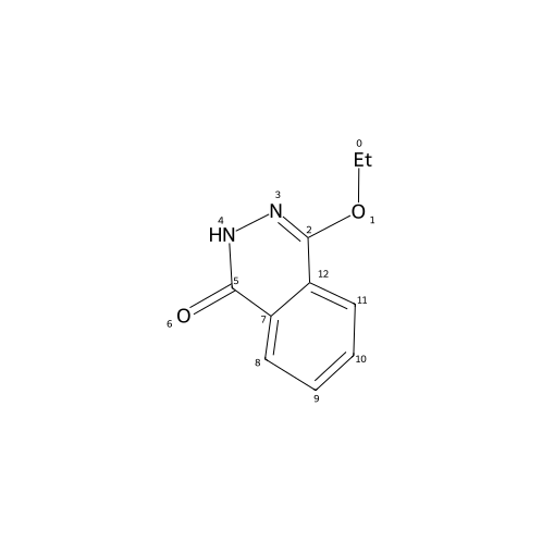 CCOc1n[nH]c(=O)c2ccccc12